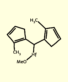 C[O][Hf][CH](C1=C(C)C=CC1)C1=C(C)C=CC1